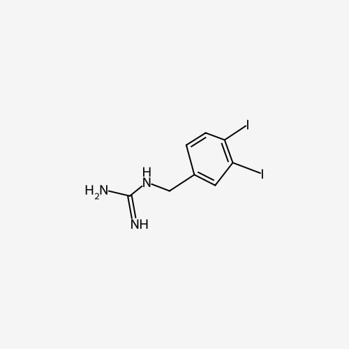 N=C(N)NCc1ccc(I)c(I)c1